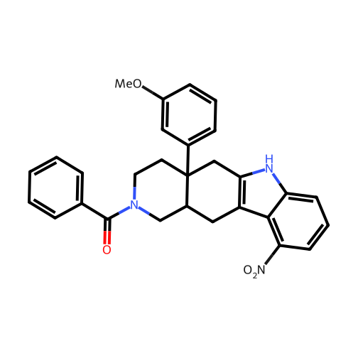 COc1cccc(C23CCN(C(=O)c4ccccc4)CC2Cc2c([nH]c4cccc([N+](=O)[O-])c24)C3)c1